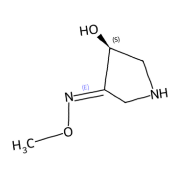 CO/N=C1\CNC[C@@H]1O